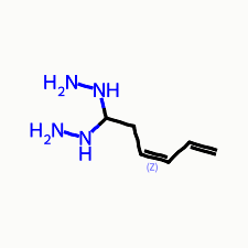 C=C/C=C\CC(NN)NN